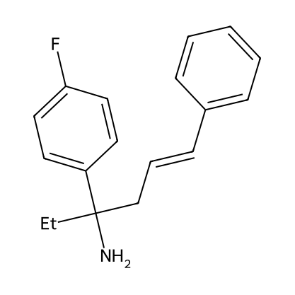 CCC(N)(CC=Cc1ccccc1)c1ccc(F)cc1